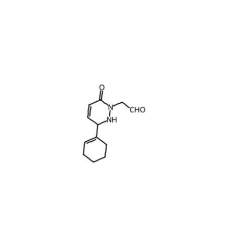 O=CCN1NC(C2=CCCCC2)C=CC1=O